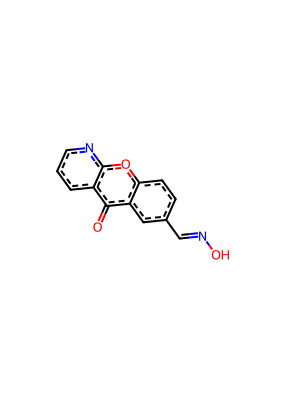 O=c1c2cc(/C=N/O)ccc2oc2ncccc12